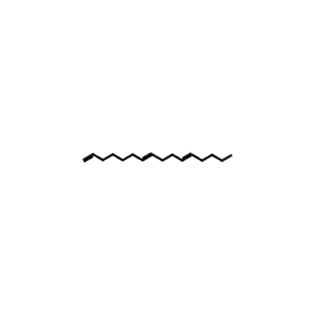 C=CCCCCC=CCCC=CCCCC